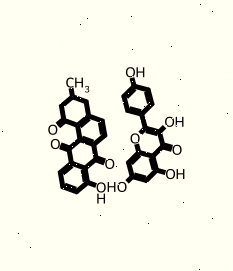 CC1CC(=O)c2c(ccc3c2C(=O)c2cccc(O)c2C3=O)C1.O=c1c(O)c(-c2ccc(O)cc2)oc2cc(O)cc(O)c12